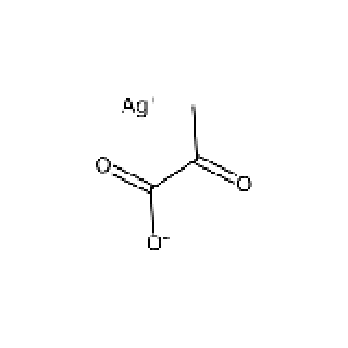 CC(=O)C(=O)[O-].[Ag+]